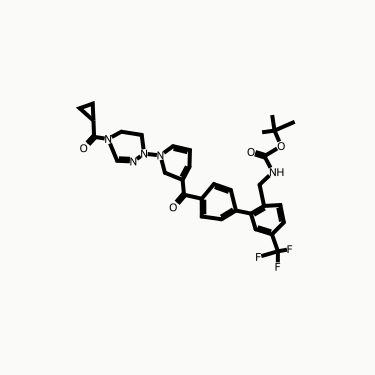 CC(C)(C)OC(=O)NCc1ccc(C(F)(F)F)cc1-c1ccc(C(=O)C2=CC=CN(N3CCN(C(=O)C4CC4)C=N3)C2)cc1